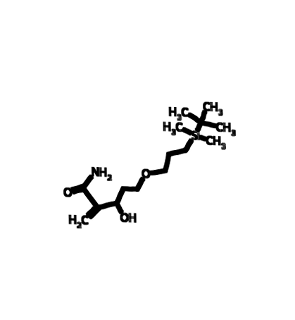 C=C(C(N)=O)C(O)CCOCCC[Si](C)(C)C(C)(C)C